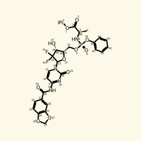 CC(C)OC(=O)[C@@H](C)NP(=O)(OC[C@H]1OC(n2ccc(NC(=O)c3ccc4c(c3)OCO4)nc2=O)C(F)(F)[C@@H]1O)Oc1ccccc1